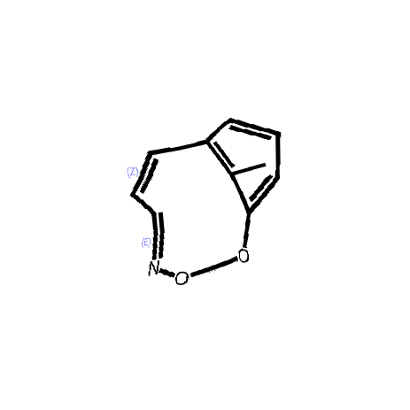 Cc1c2cccc1OO/N=C/C=C\2